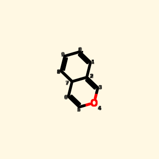 [C]1=CC2=COC=CC2C=C1